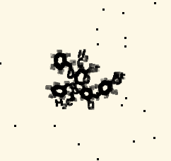 C=CCOc1cc(Cl)c(Cc2ccc(OCC)cc2)cc1[C@@H]1O[C@H](CC)[C@@H](C)[C@H](OCc2ccccc2)[C@H]1OCc1ccccc1